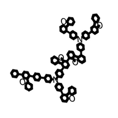 c1ccc(-c2ccc(-c3ccc(-c4ccc(N(c5ccc(-c6cccc7oc8ccccc8c67)cc5)c5ccc(-c6ccc(-c7cccc8c7oc7cccc(-c9ccc(N(c%10ccc(-c%11ccc%12oc%13ccccc%13c%12c%11)cc%10)c%10ccc(-c%11cccc%12oc%13ccccc%13c%11%12)cc%10)cc9)c78)c7oc8ccccc8c67)cc5)cc4)cc3)c3c2oc2ccccc23)cc1